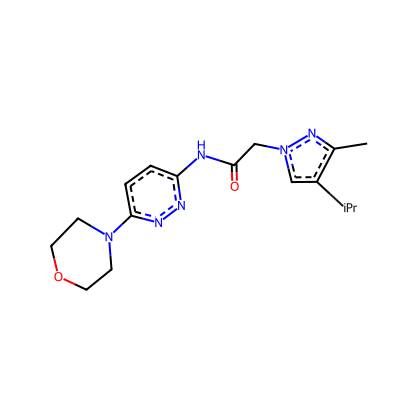 Cc1nn(CC(=O)Nc2ccc(N3CCOCC3)nn2)cc1C(C)C